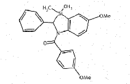 COc1ccc(C(=O)N2c3ccc(OC)cc3[Si](C)(C)C2c2ccccc2)cc1